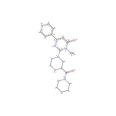 Cn1c(N2CCOC(C(=O)N3CCCCC3)C2)nc(-c2ccncc2)cc1=O